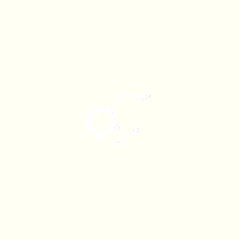 OCc1ccco1.[Cl][Ti]